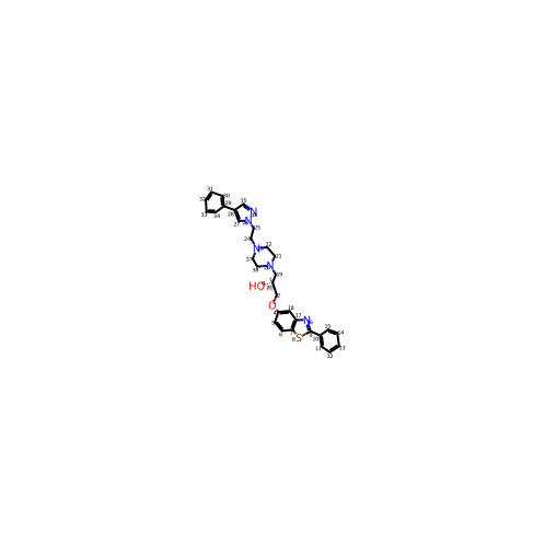 O[C@@H](COc1ccc2sc(-c3ccccc3)nc2c1)CN1CCN(CCn2cc(-c3ccccc3)cn2)CC1